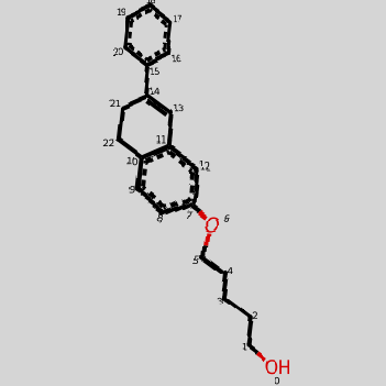 OCCCCCOc1ccc2c(c1)C=C(c1ccccc1)CC2